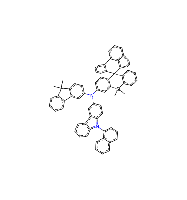 CC1(C)c2ccccc2-c2cc(N(c3ccc4c(c3)[Si](C)(C)c3ccccc3C43c4ccccc4-c4cccc5cccc3c45)c3ccc4c(c3)c3ccccc3n4-c3cccc4ccccc34)ccc21